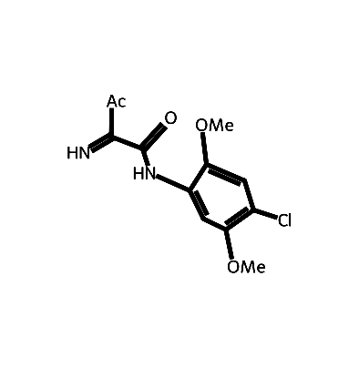 COc1cc(NC(=O)C(=N)C(C)=O)c(OC)cc1Cl